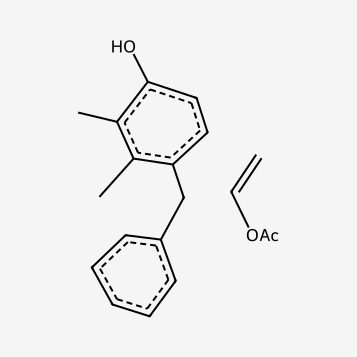 C=COC(C)=O.Cc1c(O)ccc(Cc2ccccc2)c1C